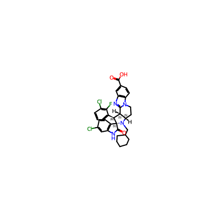 O=C(O)c1ccc2c(c1)nc1n2CC[C@H]2[C@@H]1[C@H](c1cccc(Cl)c1F)[C@]1(C(=O)Nc3cc(Cl)ccc31)N2CC1CCCCC1